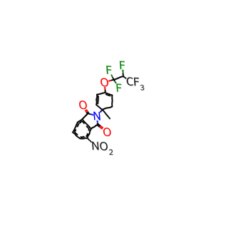 CC1(N2C(=O)c3cccc([N+](=O)[O-])c3C2=O)C=CC(OC(F)(F)C(F)C(F)(F)F)=CC1